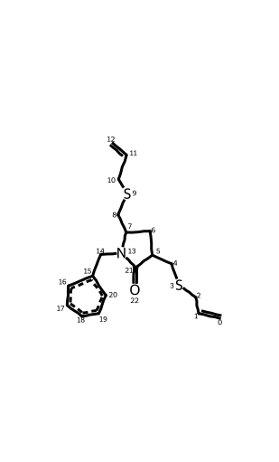 C=CCSCC1CC(CSCC=C)N(Cc2ccccc2)C1=O